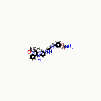 CCC(=O)N1c2ccccc2[C@H](Nc2ccc(-n3cc(CNCc4ccc(OC(N)=O)cc4)nn3)cn2)C[C@@H]1C